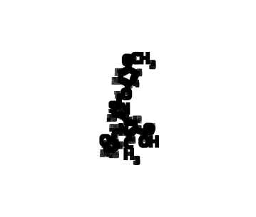 COc1ccc(OCc2nc(-c3cc(C(=O)O)c(C)n3Cc3ccco3)cs2)cc1